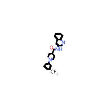 O=C(Nc1cnc2ccccc2c1)C1CCN(c2cccc(C(F)(F)F)c2)CC1